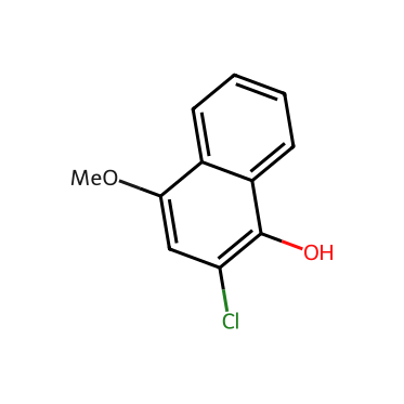 COc1cc(Cl)c(O)c2ccccc12